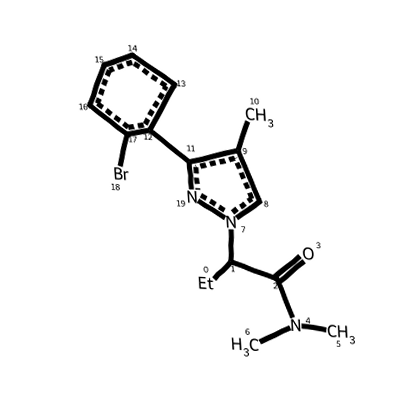 CCC(C(=O)N(C)C)n1cc(C)c(-c2ccccc2Br)n1